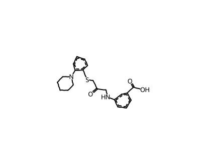 O=C(CNc1cccc(C(=O)O)c1)CSc1ccccc1N1CCCCC1